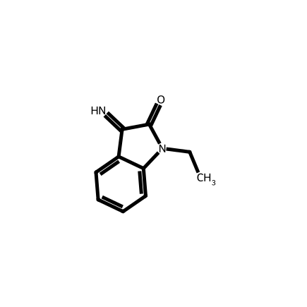 CCN1C(=O)C(=N)c2ccccc21